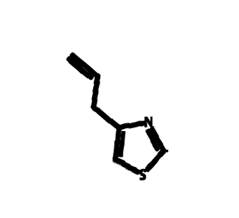 C=CCc1cs[c]n1